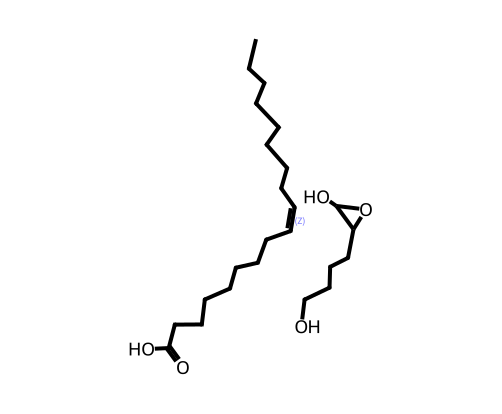 CCCCCCCC/C=C\CCCCCCCC(=O)O.OCCCCC1OC1O